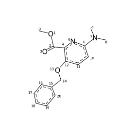 COC(=O)c1nc(N(C)C)ccc1OCc1ccccc1